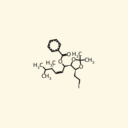 CC(C)[C@H](C)/C=C\C(OC(=O)c1ccccc1)[C@H]1OC(C)(C)O[C@H]1CCI